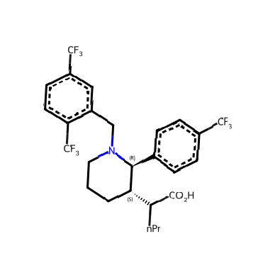 CCCC(C(=O)O)[C@@H]1CCCN(Cc2cc(C(F)(F)F)ccc2C(F)(F)F)[C@H]1c1ccc(C(F)(F)F)cc1